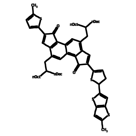 CCCCCCCCCCC(CCCCCCCC)Cc1cc2c(cc(CC(CCCCCCCC)CCCCCCCCCC)c3cc(-c4ccc(C)s4)c(=O)c32)c2c(=O)c(C3=CCC(c4cc5sc(C)cc5s4)S3)cc12